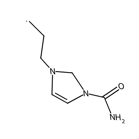 [CH2]CCN1C=CN(C(N)=O)C1